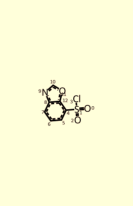 O=S(=O)(Cl)c1cccc2ncoc12